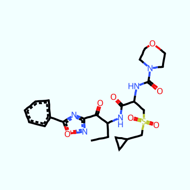 CCC(NC(=O)C(CS(=O)(=O)CC1CC1)NC(=O)N1CCOCC1)C(=O)c1noc(-c2ccccc2)n1